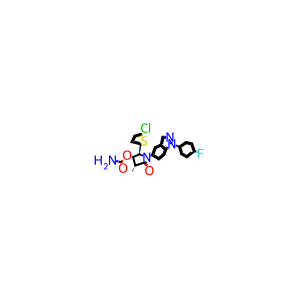 C[C@H]1C(=O)N(c2ccc3c(cnn3-c3ccc(F)cc3)c2)[C@H](c2ccc(Cl)s2)[C@H]1OC(N)=O